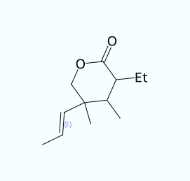 C/C=C/C1(C)COC(=O)C(CC)C1C